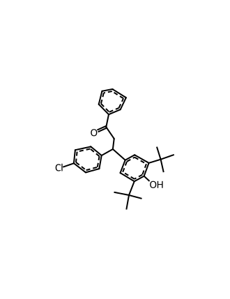 CC(C)(C)c1cc(C(CC(=O)c2ccccc2)c2ccc(Cl)cc2)cc(C(C)(C)C)c1O